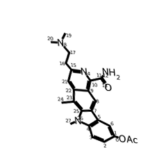 CC(=O)Oc1ccc2c(c1)c1cc3c(C(N)=O)nc(CCN(C)C)cc3c(C)c1n2C